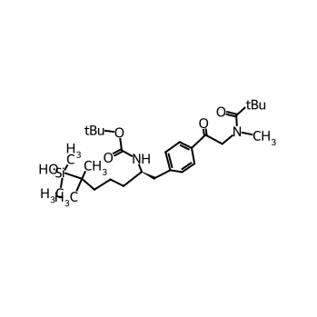 CN(CC(=O)c1ccc(C[C@@H](CCCC(C)(C)[Si](C)(C)O)NC(=O)OC(C)(C)C)cc1)C(=O)C(C)(C)C